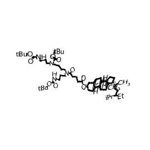 CCC(CCC(C)[C@H]1CC[C@H]2[C@@H]3CC=C4C[C@@H](OC(=O)CCCC(=O)N(CCCCN(CCCNC(=O)OC(C)(C)C)C(=O)OC(C)(C)C)CCCNC(=O)OC(C)(C)C)CC[C@]4(C)[C@H]3CC[C@]12C)C(C)C